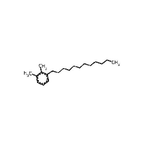 CCCCCCCCCCCCc1cccc(C)c1C